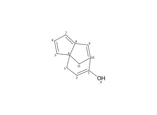 OC1=CCC23C=CC=C2C=C1C3